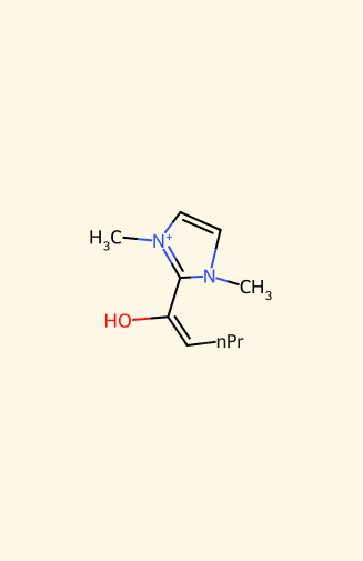 CCC/C=C(/O)c1n(C)cc[n+]1C